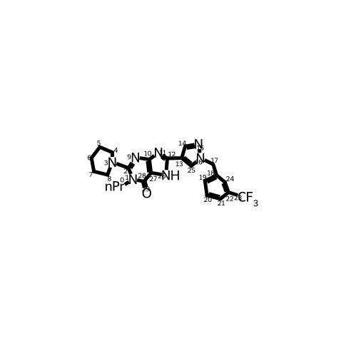 CCCn1c(N2CCCCC2)nc2nc(-c3cnn(Cc4cccc(C(F)(F)F)c4)c3)[nH]c2c1=O